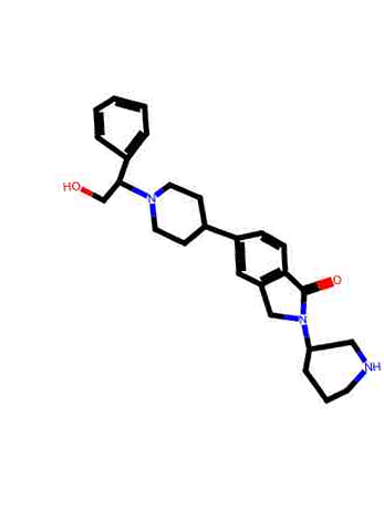 O=C1c2ccc(C3CCN(C(CO)c4ccccc4)CC3)cc2CN1C1CCCNC1